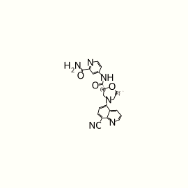 C[C@@H]1CN(c2ccc(C#N)c3ncccc23)C[C@H](C(=O)Nc2ccnc(C(N)=O)c2)O1